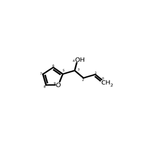 C=C[CH]C(O)c1ccco1